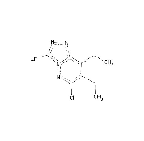 CCc1c(Cl)nn2c(Cl)nnc2c1CC